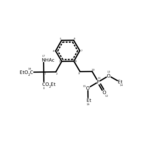 CCOC(=O)C(Cc1ccccc1CCP(=O)(OCC)OCC)(NC(C)=O)C(=O)OCC